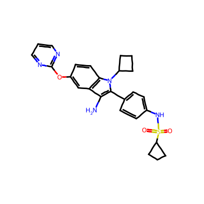 Nc1c(-c2ccc(NS(=O)(=O)C3CCC3)cc2)n(C2CCC2)c2ccc(Oc3ncccn3)cc12